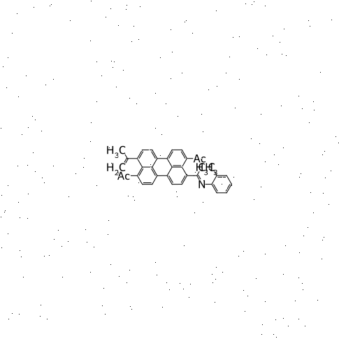 C=C(C)c1ccc2c3ccc(C(C)=O)c4c(/C(C)=N/c5ccccc5C)ccc(c5ccc(C(C)=O)c1c25)c43